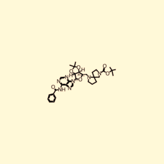 CC(C)(C)OC(=O)N1CCC2(CCCN2C[C@H]2O[C@@H](n3cnc4c(NC(=O)c5ccccc5)ncnc43)[C@@H]3OC(C)(C)O[C@@H]32)C1